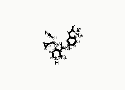 CC1Cc2cc(Nc3nn([C@@H](CC#N)C4CC4)c4cc[nH]c(=O)c34)ccc2S1(=O)=O